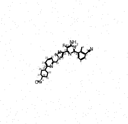 Cc1c(C#N)cccc1-c1nc(N)c(F)c(-c2cn(Cc3cccc(C4CCC([S+]=O)CC4)n3)nn2)n1